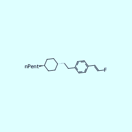 CCCCC[C@H]1CC[C@H](CCc2ccc(C=CF)cc2)CC1